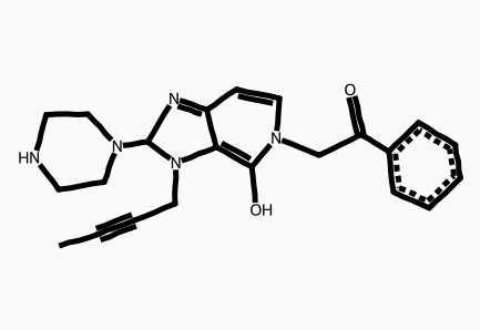 CC#CCN1C2=C(O)N(CC(=O)c3ccccc3)C=CC2=NC1N1CCNCC1